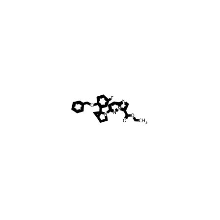 CCOC(=O)c1cnc2ccc(N3CCC4CC43c3cc(F)ccc3OCc3ccccc3)nn12